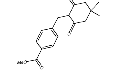 COC(=O)c1ccc(CC2C(=O)CC(C)(C)CC2=O)cc1